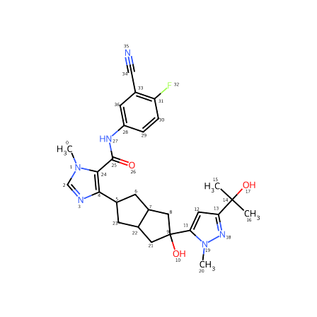 Cn1cnc(C2CC3CC(O)(c4cc(C(C)(C)O)nn4C)CC3C2)c1C(=O)Nc1ccc(F)c(C#N)c1